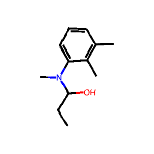 CCC(O)N(C)c1cccc(C)c1C